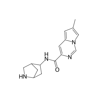 Cc1cc2cc(C(=O)NC3CC4CC3CN4)ncn2c1